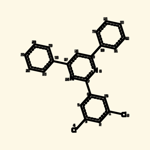 Clc1cc(Cl)cc(-c2nc(-c3ccccc3)cc(-c3ccccc3)n2)c1